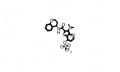 CN(C)c1c(C(=O)N[C@H]2CCOc3ccccc32)sc2c(OS(=O)(=O)C(F)(F)F)ccnc12